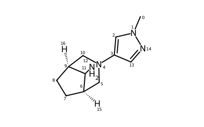 Cn1cc(N2C[C@H]3CC[C@@H](C2)C3N)cn1